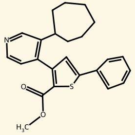 COC(=O)c1sc(-c2ccccc2)cc1-c1ccncc1C1CCCCCC1